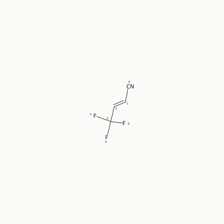 N#CC=CC(F)(F)F